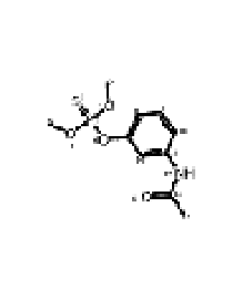 COP(=S)(OC)Oc1cccc(NC(C)=O)c1